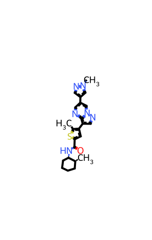 Cc1sc(C(=O)N[C@@H]2CCCC[C@@H]2C)cc1-c1cnn2cc(-c3cnn(C)c3)cnc12